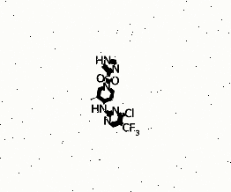 C[C@@H]1CN(S(=O)(=O)c2c[nH]cn2)CC[C@@H]1Nc1ncc(C(F)(F)F)c(Cl)n1